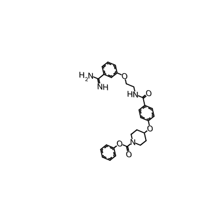 N=C(N)c1cccc(OCCNC(=O)c2ccc(OC3CCN(C(=O)Oc4ccccc4)CC3)cc2)c1